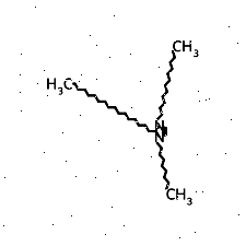 CCCCCCCCCCCCCCCCCC1N(CCCCCCCCCC)C=CN1CCCCCCCCCCCCCC